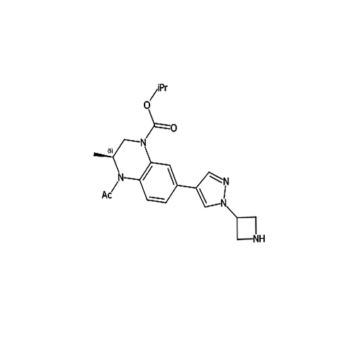 CC(=O)N1c2ccc(-c3cnn(C4CNC4)c3)cc2N(C(=O)OC(C)C)C[C@@H]1C